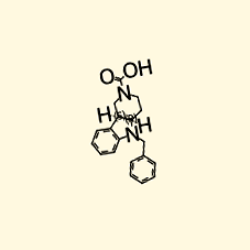 O=C(O)N1CC[C@@H]2[C@H](C1)c1ccccc1N2Cc1ccccc1